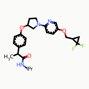 CC(C)NC(=O)C(C)c1ccc(OC2CCN(c3ccc(OCC4CC4(F)F)cn3)C2)cc1